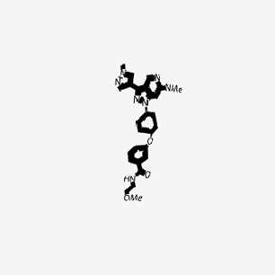 CNc1cc2c(cn1)c(-c1cnn(C)c1)nn2[C@H]1CC[C@@H](Oc2cccc(C(=O)NCCOC)c2)CC1